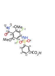 COc1c(F)c(NS(=O)(=O)c2cccc(C(=O)O)c2)c(F)c(OC)c1C(=O)N(C)C